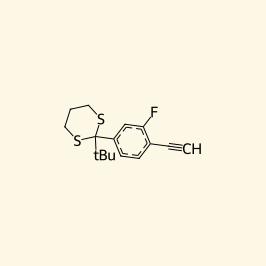 C#Cc1ccc(C2(C(C)(C)C)SCCCS2)cc1F